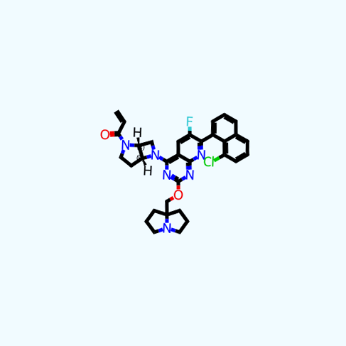 C=CC(=O)N1CC[C@@H]2[C@H]1CN2c1nc(OCC23CCCN2CCC3)nc2nc(-c3cccc4cccc(Cl)c34)c(F)cc12